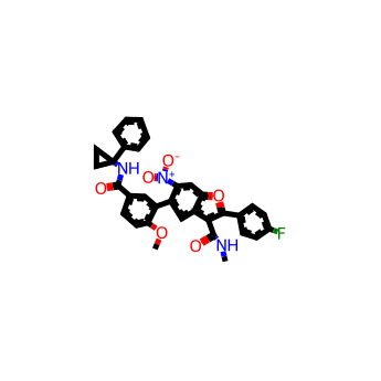 CNC(=O)c1c(-c2ccc(F)cc2)oc2cc([N+](=O)[O-])c(-c3cc(C(=O)NC4(c5ccccc5)CC4)ccc3OC)cc12